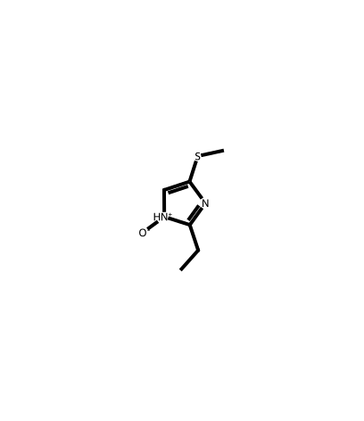 CCC1=NC(SC)=C[NH+]1[O-]